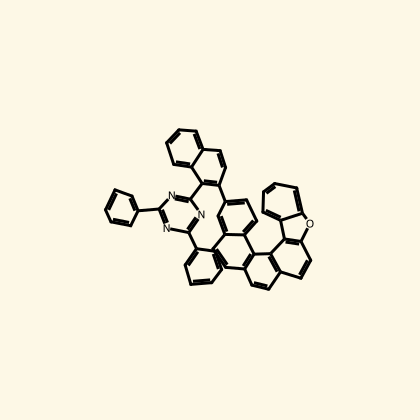 c1ccc(-c2nc(-c3ccccc3)nc(-c3c(-c4ccc5c(ccc6ccc7ccc8oc9ccccc9c8c7c65)c4)ccc4ccccc34)n2)cc1